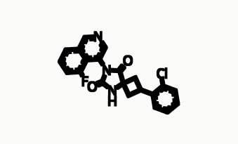 O=C1NC2(CC(c3ccccc3Cl)C2)C(=O)N1c1cncc2cccc(F)c12